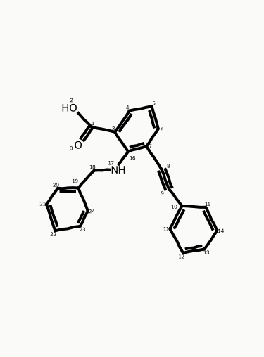 O=C(O)c1cccc(C#Cc2ccccc2)c1NCc1ccccc1